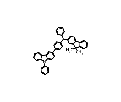 CC1(C)c2ccccc2-c2ccc(C(c3ccccc3)c3ccc(-c4ccc5c(c4)c4ccccc4n5-c4ccccc4)cc3)cc21